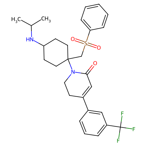 CC(C)NC1CCC(CS(=O)(=O)c2ccccc2)(N2CCC(c3cccc(C(F)(F)F)c3)=CC2=O)CC1